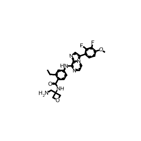 CCc1cc(Nc2nccn3c(-c4ccc(OC)c(F)c4F)cnc23)ccc1C(=O)NC1(CN)COC1